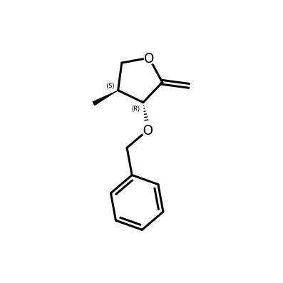 C=C1OC[C@H](C)[C@H]1OCc1ccccc1